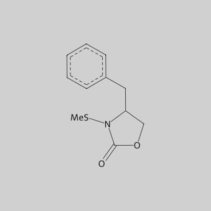 CSN1C(=O)OCC1Cc1ccccc1